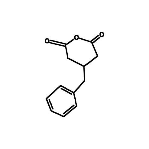 O=C1CC(Cc2ccccc2)CC(=O)O1